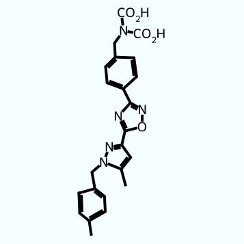 Cc1ccc(Cn2nc(-c3nc(-c4ccc(CN(C(=O)O)C(=O)O)cc4)no3)cc2C)cc1